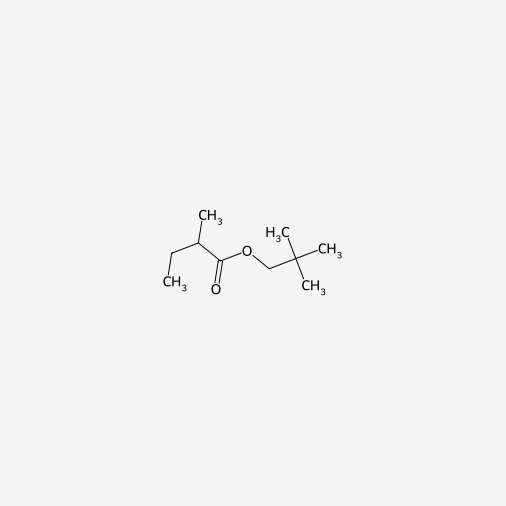 CCC(C)C(=O)OCC(C)(C)C